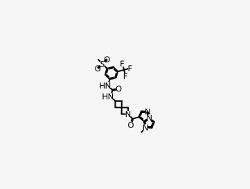 Cn1ccn2ncc(C(=O)N3CC4(CC(NC(=O)Nc5cc(C(F)(F)F)cc(S(C)(=O)=O)c5)C4)C3)c12